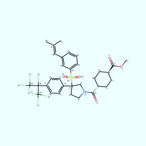 COC(=O)[C@H]1CC[C@H](C(=O)N2CCC(c3ccc(C(F)(C(F)(F)F)C(F)(F)F)cc3)(S(=O)(=O)c3cccc(C=C(C)C)c3)C2)CC1